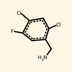 NCc1cc(F)c(Cl)cc1Cl